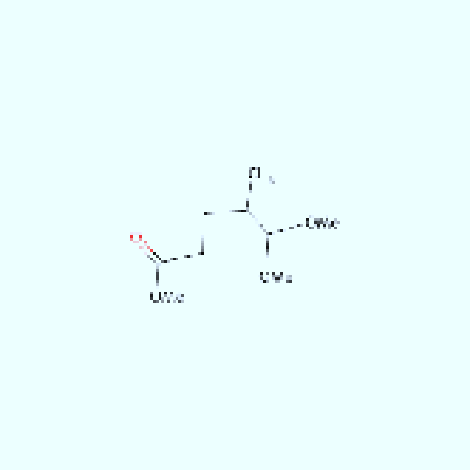 COC(=O)CCC(C)C(OC)OC